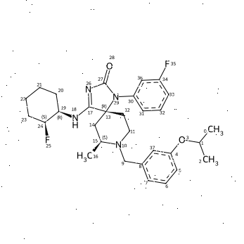 CC(C)Oc1cccc(CN2CC[C@@]3(C[C@@H]2C)C(N[C@@H]2CCCC[C@@H]2F)=NC(=O)N3c2cccc(F)c2)c1